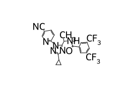 CC(NC(=O)c1cc(C(F)(F)F)cc(C(F)(F)F)c1)c1nc(C2CC2)nn1-c1ccc(C#N)cn1